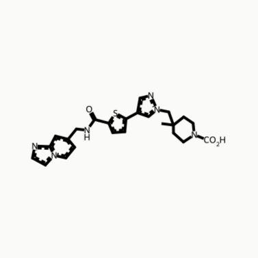 CC1(Cn2cc(-c3ccc(C(=O)NCc4ccn5ccnc5c4)s3)cn2)CCN(C(=O)O)CC1